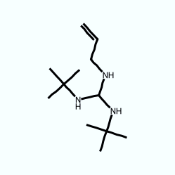 C=CCNC(NC(C)(C)C)NC(C)(C)C